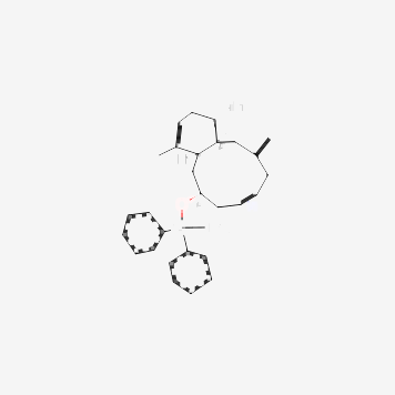 C=C1C/C=C\C[C@@H](O[Si](c2ccccc2)(c2ccccc2)C(C)(C)C)C[C@H]2C(C)=CC[C@H](C(C)C)[C@H]2C1